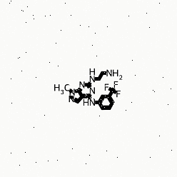 Cn1ncc2c(Nc3cccc(C(F)(F)F)c3)nc(NCCN)nc21